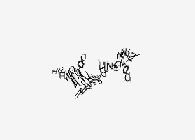 Cc1sc2c(c1C)C(c1ccc(Cl)cc1)=N[C@@H](CC(=O)NCCOCCNC(=O)c1sc3c(c1C)C(c1ccc(Cl)cc1)=N[C@@H](CC(=O)NCCO)c1nnc(C)n1-3)c1nnc(C)n1-2